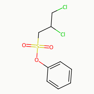 O=S(=O)(CC(Cl)CCl)Oc1ccccc1